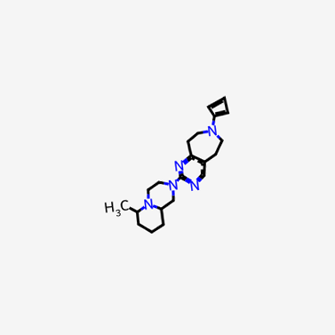 CC1CCCC2CN(c3ncc4c(n3)CCN(C3=CC=C3)CC4)CCN12